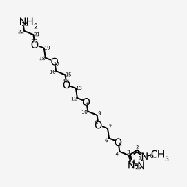 Cn1cc(COCCOCCOCCOCCOCCOCCN)nn1